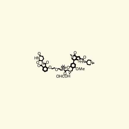 COc1cc(-c2cn(C)c(=O)c3cc(C(=O)NC4CCN(C)CC4)sc23)cc(OC)c1CN(C)CC(=O)NCCOCCOc1cccc2c1C(=O)N(C1CCC(=O)NC1=O)C2=O.O=CO